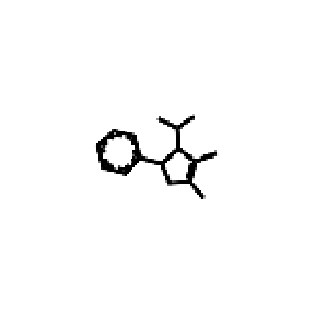 CC1=C(C)C(C(C)C)C(c2ccccc2)C1